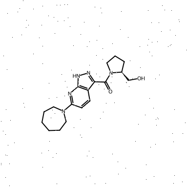 O=C(c1n[nH]c2nc(N3CCCCCC3)ccc12)N1CCC[C@H]1CO